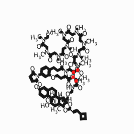 CC(=O)CN(C)C(=O)CN(C)C(=O)CN(C)C(=O)CN(C)C(=O)CN(C)C(=O)CN(C)C(=O)CN(C)C(=O)CN(C)C(=O)CN(C)C(=O)CN(C)C(=O)CCCOc1cc(N2C(=O)C=CC2=O)ccc1CCC(=O)N[C@@H](C)C(=O)N[C@@H](C)C(=O)NCOCC(=O)[C@@]12O[C@H](/C=C/C3CCC3)O[C@@H]1C[C@H]1[C@@H]3CCC4=CC(=O)C=C[C@]4(C)[C@@]3(F)[C@@H](O)C[C@@]12C